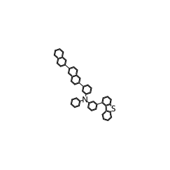 c1ccc(N(c2cccc(-c3ccc4cc(-c5ccc6ccccc6c5)ccc4c3)c2)c2cccc(-c3cccc4sc5ccccc5c34)c2)cc1